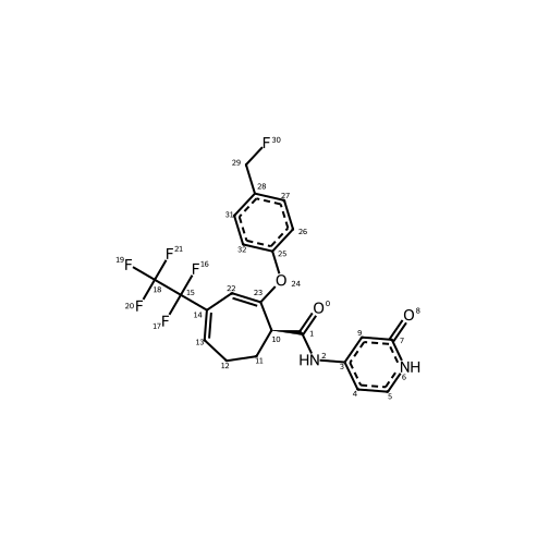 O=C(Nc1cc[nH]c(=O)c1)[C@H]1CCC=C(C(F)(F)C(F)(F)F)C=C1Oc1ccc(CF)cc1